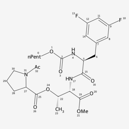 CCCCCOC(=O)N[C@@H](Cc1cc(F)cc(F)c1)C(=O)N[C@H](C(=O)OC)[C@H](C)OC(=O)C1CCCN1C(C)=O